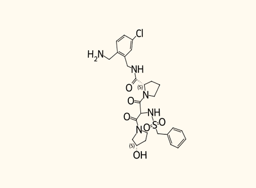 NCc1ccc(Cl)cc1CNC(=O)[C@@H]1CCCN1C(=O)C(NS(=O)(=O)Cc1ccccc1)C(=O)N1CC[C@H](O)C1